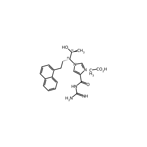 CC(=O)O.C[C@H](O)[C@@H](CCc1cccc2ccccc12)n1cnc(C(=O)NC(=N)N)c1